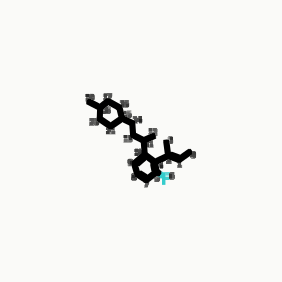 C/C=C(\C)c1c(F)cccc1C(C)CCC1CCC(C)CC1